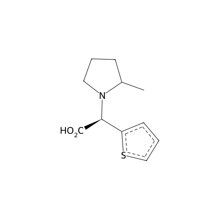 CC1CCCN1[C@H](C(=O)O)c1cccs1